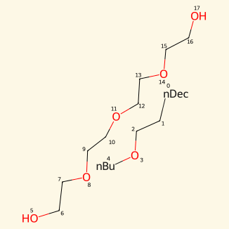 CCCCCCCCCCCCOCCCC.OCCOCCOCCOCCO